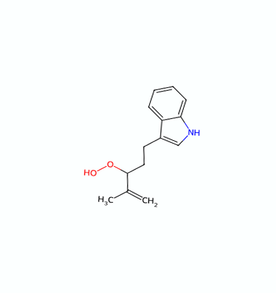 C=C(C)C(CCc1c[nH]c2ccccc12)OO